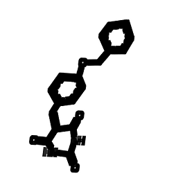 O=C1NC(=O)C(=Cc2ccc(OCc3ccccc3)cc2)C(=O)N1